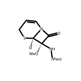 CCCCCN[C@]1(OC)C(=O)N2C=CCS[C@@H]21